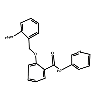 CCCCCCCCCc1ccccc1COc1ccccc1C(=O)Nc1cccnc1